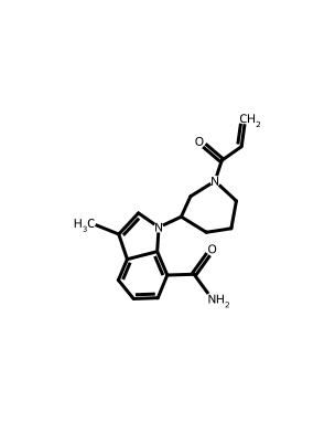 C=CC(=O)N1CCCC(n2cc(C)c3cccc(C(N)=O)c32)C1